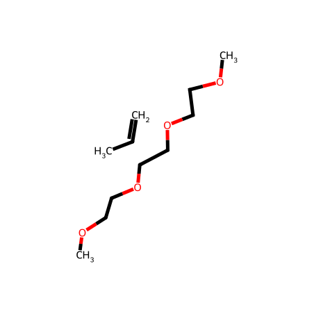 C=CC.COCCOCCOCCOC